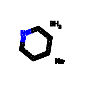 B.[Na].c1ccncc1